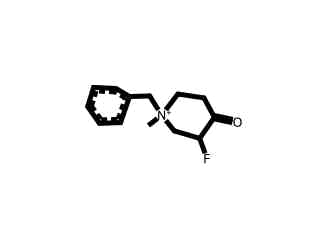 C[N+]1(Cc2ccccc2)CCC(=O)C(F)C1